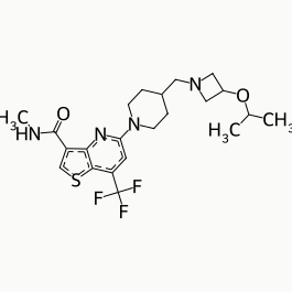 CNC(=O)c1csc2c(C(F)(F)F)cc(N3CCC(CN4CC(OC(C)C)C4)CC3)nc12